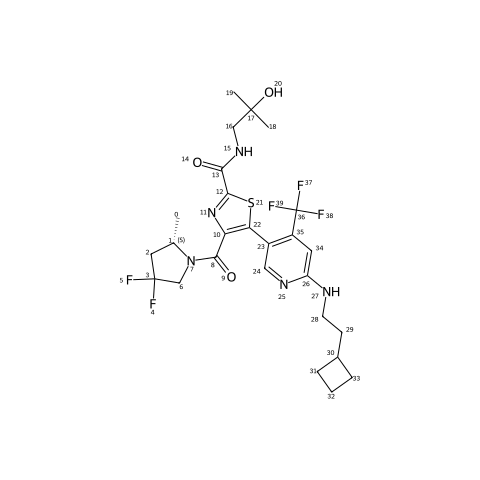 C[C@H]1CC(F)(F)CN1C(=O)c1nc(C(=O)NCC(C)(C)O)sc1-c1cnc(NCCC2CCC2)cc1C(F)(F)F